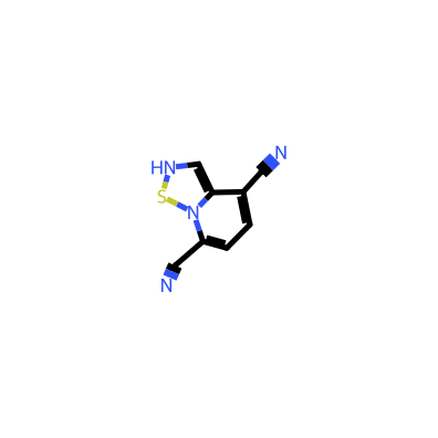 N#CC1=CC=C(C#N)N2SNC=C12